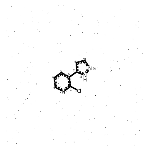 Clc1ncccc1-c1ccn[nH]1